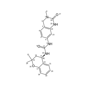 CN1Cc2ccc(NC(=O)N[C@@H]3CC(C)(C)Oc4ccccc43)cc2NC1=O